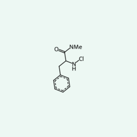 CNC(=O)C(Cc1ccccc1)NCl